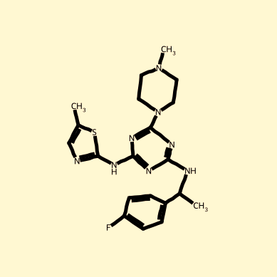 Cc1cnc(Nc2nc(NC(C)c3ccc(F)cc3)nc(N3CCN(C)CC3)n2)s1